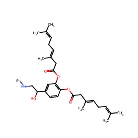 CC(C)=CC/C=C(\C)CC(=O)Oc1ccc(C(O)CNC(C)C)cc1OC(=O)C/C(C)=C/CC=C(C)C